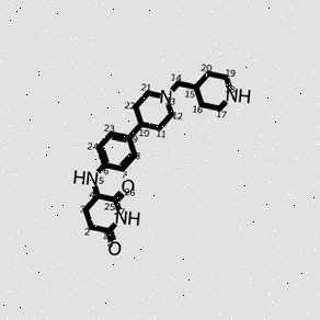 O=C1CCC(Nc2ccc(C3CCN(CC4CCNCC4)CC3)cc2)C(=O)N1